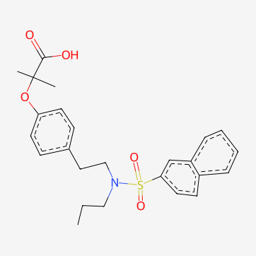 CCCN(CCc1ccc(OC(C)(C)C(=O)O)cc1)S(=O)(=O)c1ccc2ccccc2c1